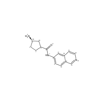 N[C@@H]1CCC(C(=O)Nc2ccc3cnccc3c2)C1